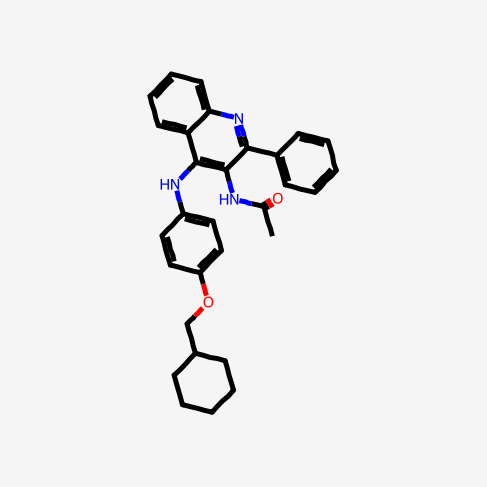 CC(=O)Nc1c(-c2ccccc2)nc2ccccc2c1Nc1ccc(OCC2CCCCC2)cc1